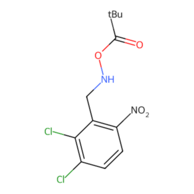 CC(C)(C)C(=O)ONCc1c([N+](=O)[O-])ccc(Cl)c1Cl